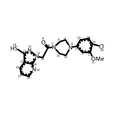 COc1cc(N2CCN(C(=O)Cn3nc(S)c4cccnc43)CC2)ccc1Cl